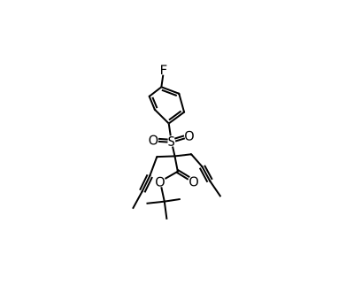 CC#CCC(CC#CC)(C(=O)OC(C)(C)C)S(=O)(=O)c1ccc(F)cc1